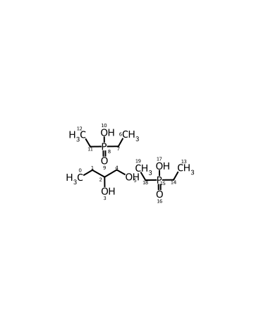 CCC(O)CO.CCP(=O)(O)CC.CCP(=O)(O)CC